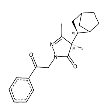 CC1=NN(CC(=O)c2ccccc2)C(=O)[C@]1(C)[C@H]1CC2CCC1C2